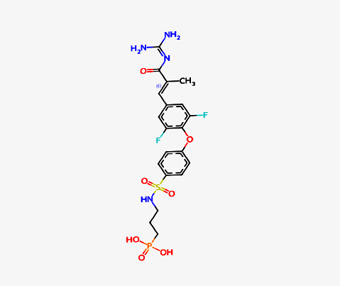 C/C(=C\c1cc(F)c(Oc2ccc(S(=O)(=O)NCCCP(=O)(O)O)cc2)c(F)c1)C(=O)N=C(N)N